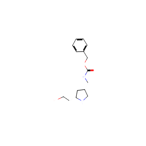 O=C(NC[C@@H]1CN[C@H](CCO)C1)OCc1ccccc1